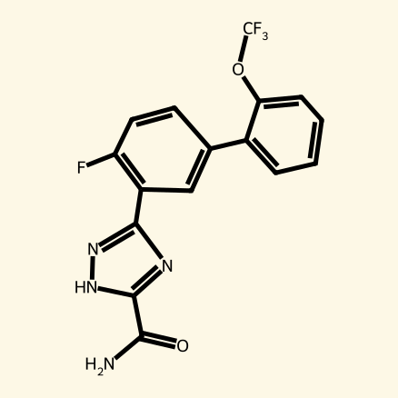 NC(=O)c1nc(-c2cc(-c3ccccc3OC(F)(F)F)ccc2F)n[nH]1